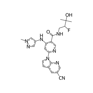 Cn1cc(Nc2cc(-n3ccc4cc(C#N)cnc43)ncc2C(=O)NCC(F)C(C)(C)O)cn1